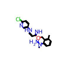 Cc1cccc(N(C)N)c1COC(=N)/C=C\Nc1ccc(Cl)nc1